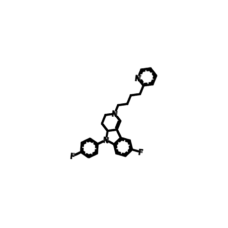 Fc1ccc(N2c3ccc(F)cc3C3=CN(CCCCc4ccccn4)CCC32)cc1